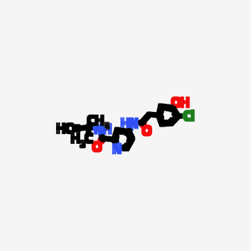 C#CC(C)(C)NC(=O)c1cc(NC(=O)Cc2ccc(Cl)c(O)c2)ccn1